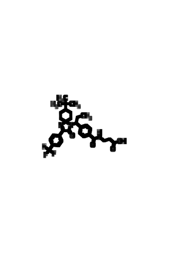 CCC(c1ccc(C(=O)NCCC(=O)O)cc1)N1C(=O)C(c2ccc(C(F)(F)F)cc2)=NC12CCC(C(C)(C)C)CC2